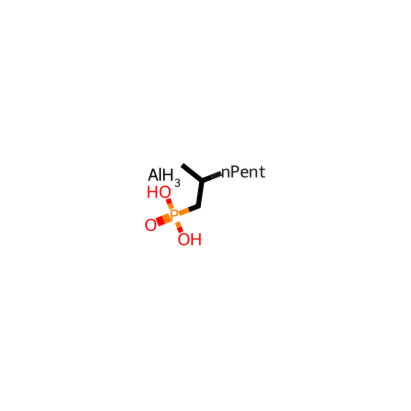 CCCCCC(C)CP(=O)(O)O.[AlH3]